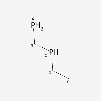 CCPCP